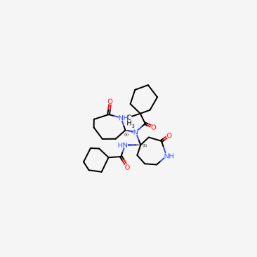 CC1(C(=O)N([C@H]2CCCCC(=O)N2)[C@@]2(NC(=O)C3CCCCC3)CCCNC(=O)C2)CCCCC1